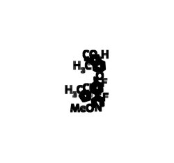 COc1cc(-c2cc(F)c(COc3ccc4c(c3)[C@@](C)(CC(=O)O)CC4)cc2[C@@H]2CCCC2(C)C)c(F)cn1